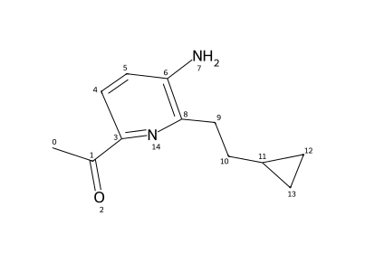 CC(=O)c1ccc(N)c(CCC2CC2)n1